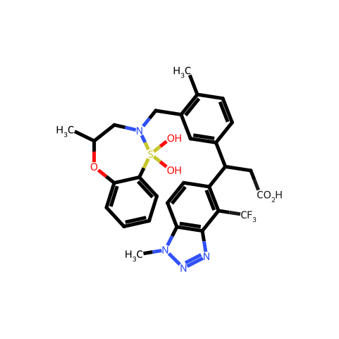 Cc1ccc(C(CC(=O)O)c2ccc3c(nnn3C)c2C(F)(F)F)cc1CN1CC(C)Oc2ccccc2S1(O)O